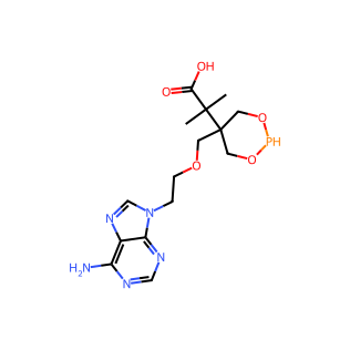 CC(C)(C(=O)O)C1(COCCn2cnc3c(N)ncnc32)COPOC1